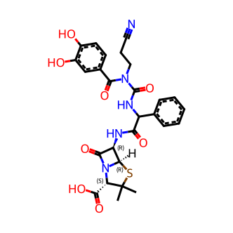 CC1(C)S[C@@H]2[C@H](NC(=O)C(NC(=O)N(CCC#N)C(=O)c3ccc(O)c(O)c3)c3ccccc3)C(=O)N2[C@H]1C(=O)O